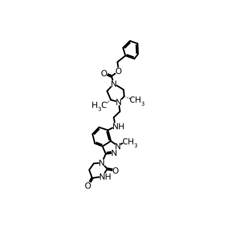 C[C@@H]1CN(C(=O)OCc2ccccc2)C[C@H](C)N1CCNc1cccc2c(N3CCC(=O)NC3=O)nn(C)c12